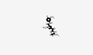 Cc1cc(NC(=O)c2cc(C(=O)C(=O)NC(C)C(F)(F)F)cn2C)ccc1F